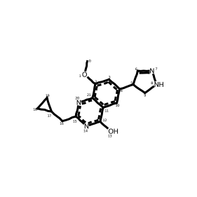 COc1cc(C2C=NNC2)cc2c(O)nc(CC3CC3)nc12